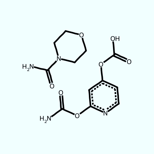 NC(=O)N1CCOCC1.NC(=O)Oc1cc(OC(=O)O)ccn1